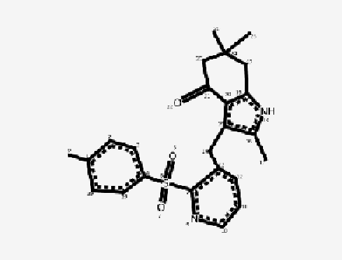 Cc1ccc(S(=O)(=O)c2ncccc2Cc2c(C)[nH]c3c2C(=O)CC(C)(C)C3)cc1